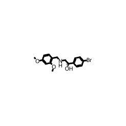 COc1ccc(CNC[C@H](O)c2ccc(Br)cc2)c(OC)c1